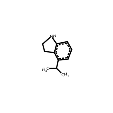 CC(C)c1cccc2c1CCN2